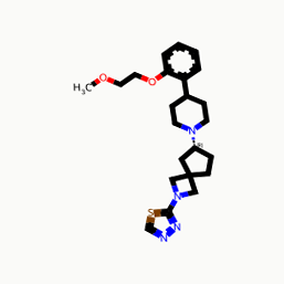 COCCOc1ccccc1C1CCN([C@@H]2CCC3(C2)CN(c2nncs2)C3)CC1